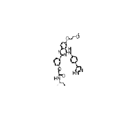 CC[C@H](C)NC(=O)COc1cccc(-c2nc(Nc3ccc(-c4cn[nH]c4)cc3)c3cc(OCCOC)ccc3n2)c1